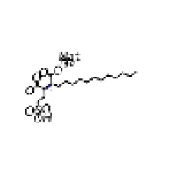 CCCCCCCCCCCC/C(C(=O)[O-])=C(\CCS(=O)(=O)O)C(=O)[O-].[Na+].[Na+]